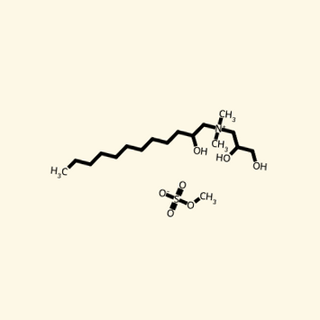 CCCCCCCCCCC(O)C[N+](C)(C)CC(O)CO.COS(=O)(=O)[O-]